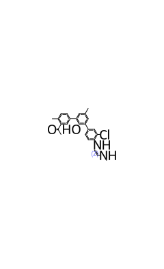 CN/C=C\Nc1ccc(-c2cc(C)cc(-c3ccc(C)c(C(C)=O)c3)c2O)cc1Cl